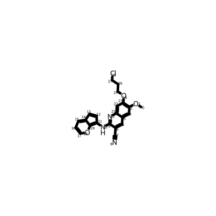 COc1cc2cc(C#N)c(Nc3ccc4cccoc3-4)nc2cc1OCCCCl